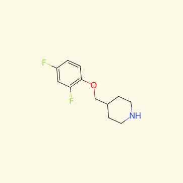 Fc1ccc(OCC2CCNCC2)c(F)c1